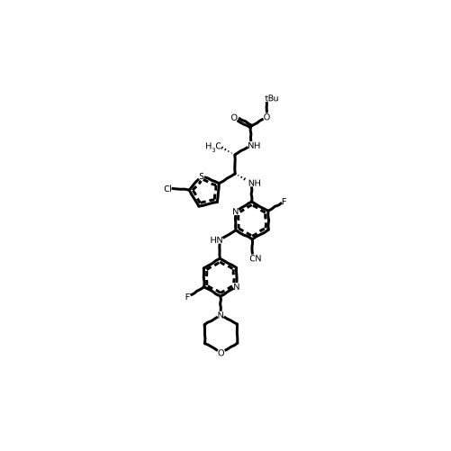 C[C@H](NC(=O)OC(C)(C)C)[C@H](Nc1nc(Nc2cnc(N3CCOCC3)c(F)c2)c(C#N)cc1F)c1ccc(Cl)s1